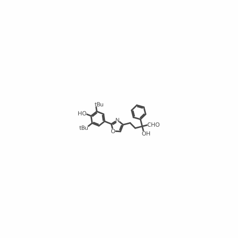 CC(C)(C)c1cc(-c2nc(CCC(O)(C=O)c3ccccc3)co2)cc(C(C)(C)C)c1O